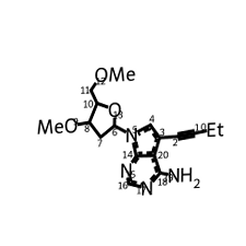 CCC#Cc1cn(C2CC(OC)C(COC)O2)c2ncnc(N)c12